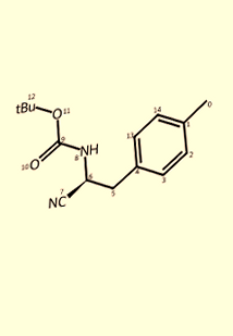 Cc1ccc(C[C@@H](C#N)NC(=O)OC(C)(C)C)cc1